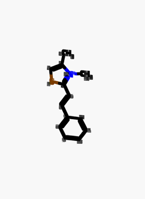 Cc1csc(C=Cc2ccccc2)[n+]1C